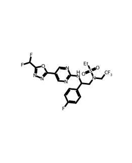 CCS(=O)(=O)N(CC(Nc1ncc(-c2nnc(C(F)F)o2)cn1)c1ccc(F)cc1)CC(F)(F)F